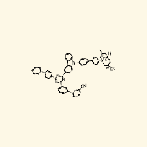 CC[C@@H]1C[C@@H]2C[C@H](C)CC(c3ccc(-c4ccc(-n5c6ccccc6c6cc(-c7nc(-c8ccc(-c9ccccc9)cc8)nc(-c8cccc(-c9cccc(C#N)c9)c8)n7)ccc65)cc4)cc3)(C1)C2